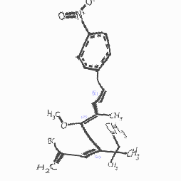 C=C(Br)\C=C(/C(OC)=C(C)/C=C/c1ccc([N+](=O)[O-])cc1)C(C)(C)C